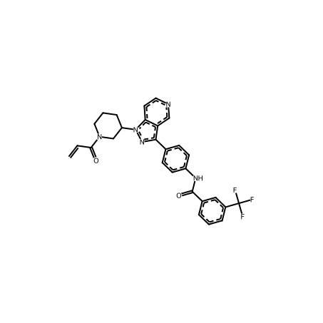 C=CC(=O)N1CCCC(n2nc(-c3ccc(NC(=O)c4cccc(C(F)(F)F)c4)cc3)c3cnccc32)C1